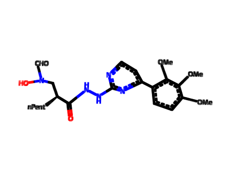 CCCCC[C@@H](CN(O)C=O)C(=O)NNc1nccc(-c2ccc(OC)c(OC)c2OC)n1